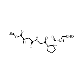 CC(C)(C)OC(=O)NCC(=O)NCC(=O)N1CCC[C@H]1C(=O)NC[C]=O